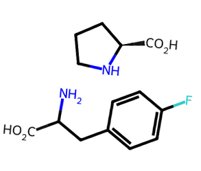 NC(Cc1ccc(F)cc1)C(=O)O.O=C(O)[C@@H]1CCCN1